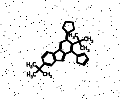 CC(C)(C)c1ccc2c(c1)[C]=c1c-2cc(=C2CCCC2)c(C(C)(C)C)c1C1=CC=CC1